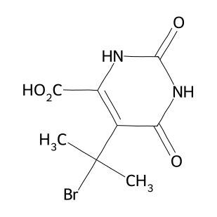 CC(C)(Br)c1c(C(=O)O)[nH]c(=O)[nH]c1=O